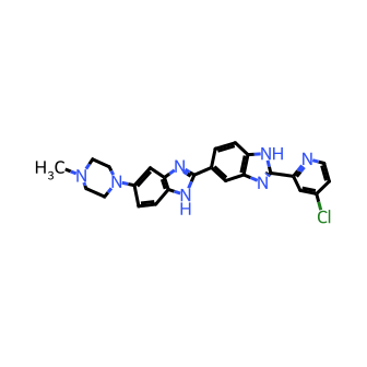 CN1CCN(c2ccc3[nH]c(-c4ccc5[nH]c(-c6cc(Cl)ccn6)nc5c4)nc3c2)CC1